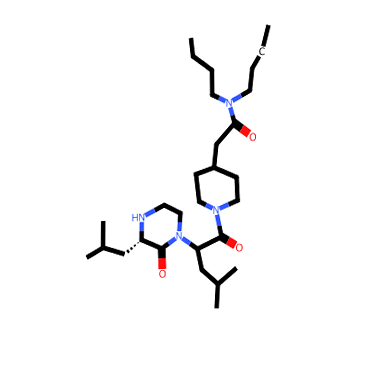 CCCCN(CCCC)C(=O)CC1CCN(C(=O)C(CC(C)C)N2CCN[C@@H](CC(C)C)C2=O)CC1